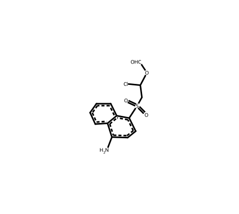 Nc1ccc(S(=O)(=O)CC(Cl)OC=O)c2ccccc12